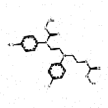 CC(C)(C)OC(=O)OCCN(CCN(C(=O)OC(C)(C)C)c1ccc(N)cc1)c1ccc(N)cc1